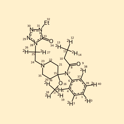 [2H]c1c([2H])c([2H])c(N(C(=O)CC([2H])([2H])[2H])C2(OC([2H])([2H])[2H])CCN(CC([2H])([2H])n3nnn(CC)c3=O)CC2)c([2H])c1[2H]